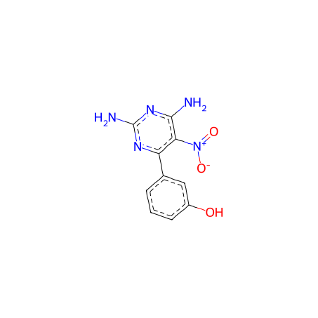 Nc1nc(N)c([N+](=O)[O-])c(-c2cccc(O)c2)n1